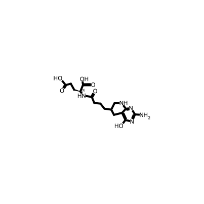 Nc1nc(O)c2c(n1)NCC(CCCC(=O)N[C@@H](CCC(=O)O)C(=O)O)C2